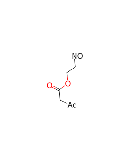 CC(=O)CC(=O)OCCN=O